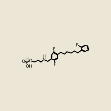 O=[PH](O)OCCCNCc1cc(F)c(CCCCCCc2ccccc2F)cc1F